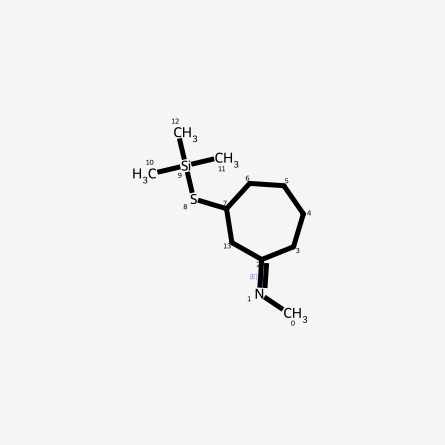 C/N=C1\CCCCC(S[Si](C)(C)C)C1